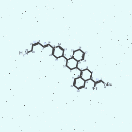 CCCC/C=C(\CC)C1CCC(C2CCC(C3C=CC(/C=C/C=C\CN)=CC3)C3CCC=CC23)=C2C=CC=CC21